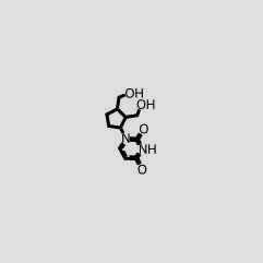 O=c1ccn(C2CCC(CO)C2CO)c(=O)[nH]1